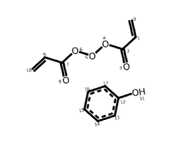 C=CC(=O)OOOC(=O)C=C.Oc1ccccc1